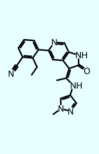 CCc1c(C#N)cccc1-c1cc2c(cn1)NC(=O)/C2=C(/C)Nc1cnn(C)c1